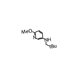 COc1ccc(NCC(C)(C)C)cn1